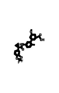 COc1cc(C(=O)O)cc(-c2cc(NC(=O)C3(c4ccc5c(c4)OC(F)(F)O5)CC3)ccc2C)c1